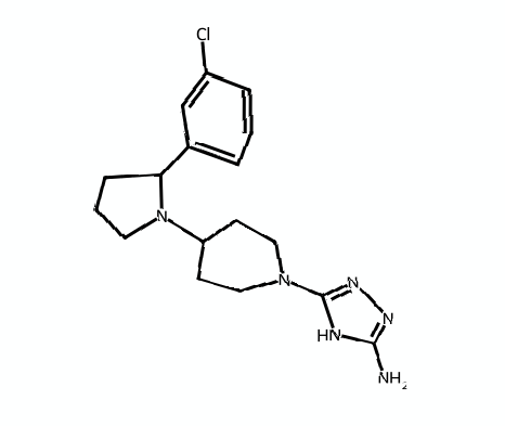 Nc1nnc(N2CCC(N3CCCC3c3cccc(Cl)c3)CC2)[nH]1